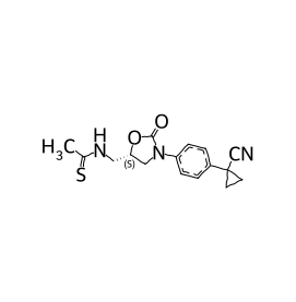 CC(=S)NC[C@H]1CN(c2ccc(C3(C#N)CC3)cc2)C(=O)O1